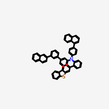 c1cc(-c2cccc(N(c3ccc(-c4cccc5ccccc45)cc3)c3ccccc3-c3ccc4c(c3)sc3ccccc34)c2)cc(-c2ccc3ccccc3c2)c1